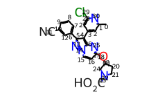 Cc1cc(-c2c(-c3cccc(C#N)c3)nn3ccc(O[C@H]4CCN(C(=O)O)C4)nc23)cc(Cl)n1